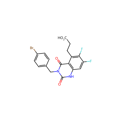 O=C(O)CCc1c(F)c(F)cc2[nH]c(=O)n(Cc3ccc(Br)cc3)c(=O)c12